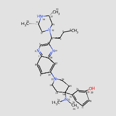 CCC[C@@H](c1cnc2ccc(N3CCC(c4cccc(O)c4)(N(C)C)CC3)cc2n1)N1C[C@@H](C)N[C@@H](C)C1